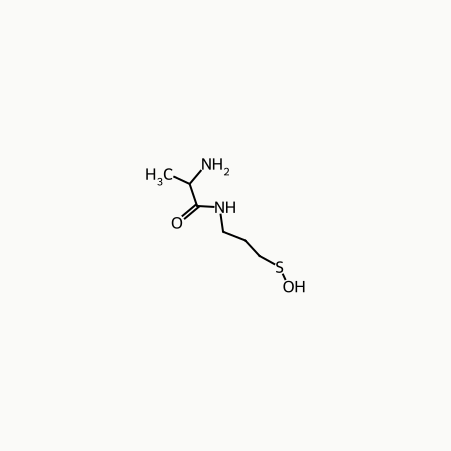 CC(N)C(=O)NCCCSO